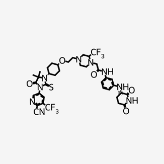 CC1(C)C(=O)N(c2cnc(C#N)c(C(F)(F)F)c2)C(=S)N1[C@H]1CC[C@H](OCCN2CCN(CC(=O)Nc3cccc(N[C@@H]4CCC(=O)NC4=O)c3)C(C(F)(F)F)C2)CC1